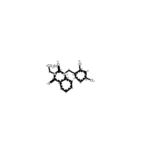 CCOC(=O)Cn1c(=S)c2ccccc2n(Cc2ccc(Cl)cc2Cl)c1=O